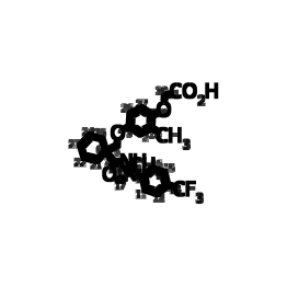 Cc1cc(OCC2(C34NN(c5ccc(C(F)(F)F)cc5)C(O3)N4C)C=CC=CC2)ccc1OCC(=O)O